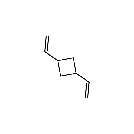 C=CC1CC(C=C)C1